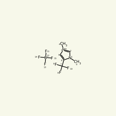 Cn1c[n+](C)cc1C(F)(F)F.F[B-](F)(F)F